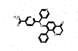 C=C(/C=C\C(=C/C)C(N)=O)[C@H](Oc1ccc2c(c1-c1ccccc1)OCCC2=O)c1ccncc1